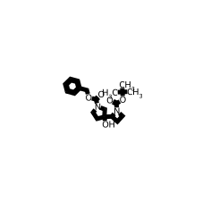 CC(C)(C)OC(=O)N1CCC1C1(O)CCN(C(=O)OCc2ccccc2)C1